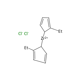 CCC1=CC=C[CH]1[Zr+2][CH]1C=CC=C1CC.[Cl-].[Cl-]